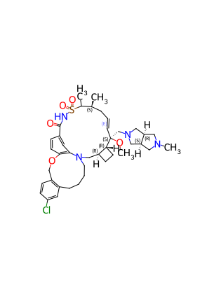 CO[C@]1(CN2C[C@H]3CN(C)C[C@H]3C2)/C=C/C[C@H](C)C(C)S(=O)(=O)NC(=O)c2ccc3c(c2)N(CCCCc2cc(Cl)ccc2CO3)C[C@@H]2CC[C@H]21